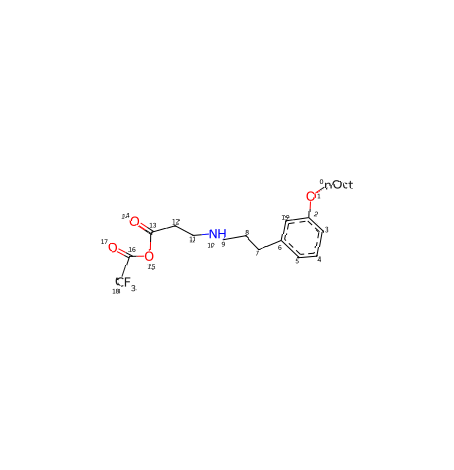 CCCCCCCCOc1cccc(CCCNCCC(=O)OC(=O)C(F)(F)F)c1